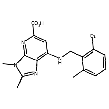 CCc1cccc(C)c1CNc1cc(C(=O)O)nc2c1nc(C)n2C